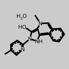 Cc1ccc(N2NC3=c4ccccc4=CN(C)C3=C2O)nc1.O